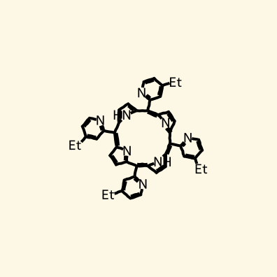 CCc1ccnc(-c2c3nc(c(-c4cc(CC)ccn4)c4ccc([nH]4)c(-c4cc(CC)ccn4)c4nc(c(-c5cc(CC)ccn5)c5ccc2[nH]5)C=C4)C=C3)c1